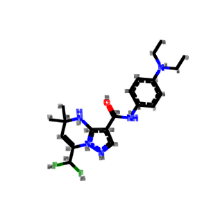 CCN(CC)c1ccc(NC(=O)c2cnn3c2NC(C)(C)C=C3C(F)F)cc1